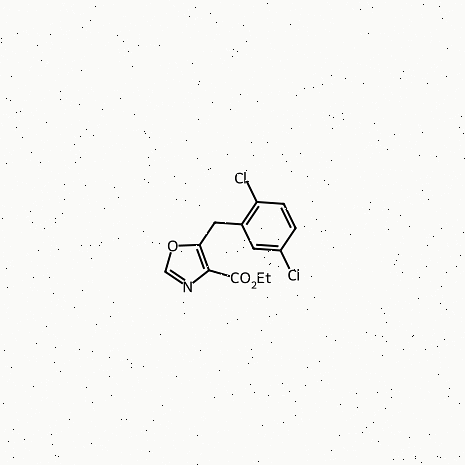 CCOC(=O)c1ncoc1Cc1cc(Cl)ccc1Cl